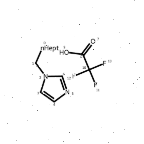 CCCCCCCCn1ccnc1.O=C(O)C(F)(F)F